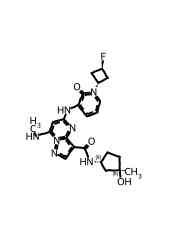 CNc1cc(Nc2cccn([C@H]3C[C@H](F)C3)c2=O)nc2c(C(=O)N[C@@H]3CC[C@@](C)(O)C3)cnn12